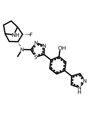 CN(c1nnc(-c2ccc(-c3cn[nH]c3)cc2O)s1)[C@@H]1CC2CCC(N2)[C@@H]1F